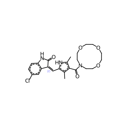 Cc1[nH]c(/C=C2\C(=O)Nc3ccc(Cl)cc32)c(C)c1C(=O)N1CCOCCOCCOCC1